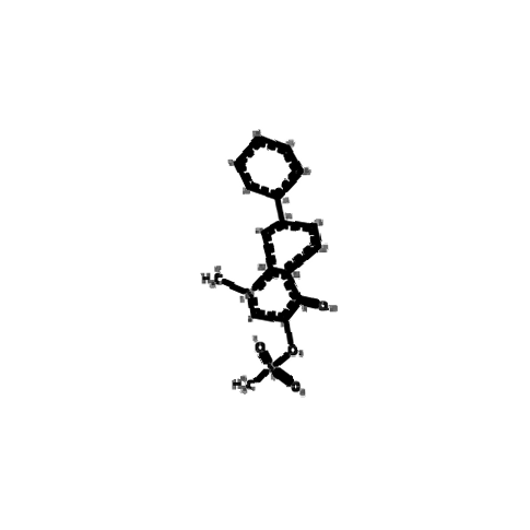 Cn1cc(OS(C)(=O)=O)c(=O)c2ccc(-c3ccccc3)cc21